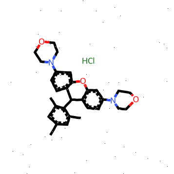 Cc1cc(C)c(C2c3ccc(N4CCOCC4)cc3Oc3cc(N4CCOCC4)ccc32)c(C)c1.Cl